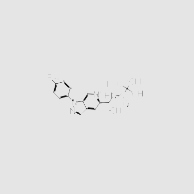 C[C@@H](N[S+]([O-])C(C)(C)C)c1cc2cnn(-c3ccc(F)cc3)c2cn1